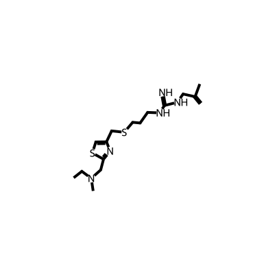 C=C(C)CNC(=N)NCCCSCc1csc(CN(C)CC)n1